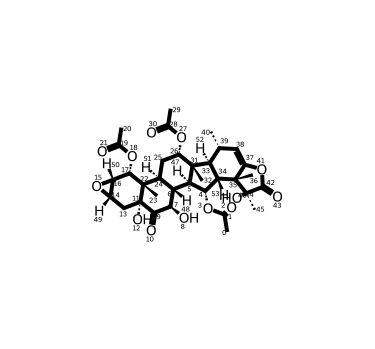 CC(=O)O[C@@H]1[C@H]2[C@@H]3[C@@H](O)C(=O)[C@@]4(O)C[C@@H]5O[C@@H]5[C@H](OC(C)=O)[C@]4(C)[C@H]3C[C@H](OC(C)=O)[C@]2(C)[C@@H]2[C@@H]1[C@]1(C)C(=C[C@H]2C)OC(=O)[C@@]1(C)O